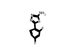 Nc1nnc(-c2ccc(F)cc2F)s1